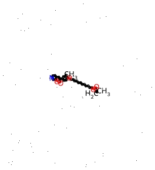 C=C(C)C(=O)OCCCCCCCCCCCCOc1ccc(-c2cc3ccncc3oc2=O)cc1C